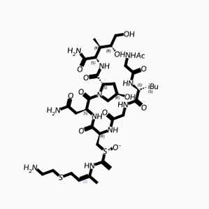 C=C(N/C(C)=C\CSCCN)[S+]([O-])C[C@H](NC(=O)CNC(=O)[C@@H](NC(=O)CNC(C)=O)[C@@H](C)CC)C(=O)N[C@@H](CC(N)=O)C(=O)N1C[C@H](O)C[C@H]1C(=O)N[C@H](C(N)=O)[C@@H](C)[C@@H](O)CO